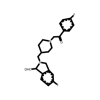 O=CC1c2ccc(F)cc2CN1CC1CCN(CC(=O)c2ccc(F)cc2)CC1